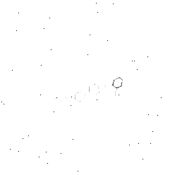 CCCCC[C@H]1CC[C@H]([C@H]2CC[C@H](COc3c(F)cccc3F)CC2)CC1